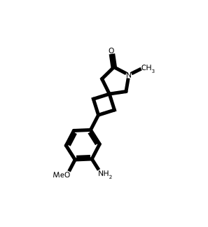 COc1ccc(C2CC3(CC(=O)N(C)C3)C2)cc1N